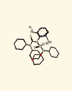 CC(C)Nc1cccc(NC(C)C)c1N(C(=O)N(C1CCCCC1)C1CCCCC1)S(=O)(=O)N(C1CCCCC1)C1CCCCC1